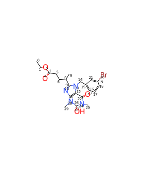 CCOC(=O)CCC(C)c1nc2c(n1Cc1cccc(Br)c1)C(=O)N(C)C(O)N2C